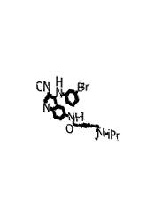 CC(C)N(C)CC#CC(=O)Nc1ccc2ncc(C#N)c(Nc3cccc(Br)c3)c2c1